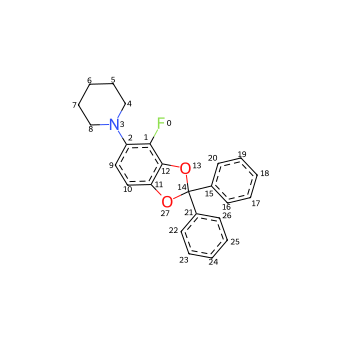 Fc1c(N2CCCCC2)ccc2c1OC(c1ccccc1)(c1ccccc1)O2